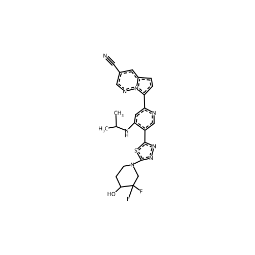 CC(C)Nc1cc(-c2ccc3cc(C#N)cnn23)ncc1-c1nnc(N2CCC(O)C(F)(F)C2)s1